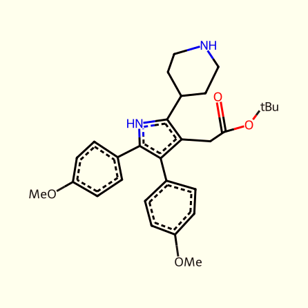 COc1ccc(-c2[nH]c(C3CCNCC3)c(CC(=O)OC(C)(C)C)c2-c2ccc(OC)cc2)cc1